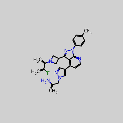 C=C(N)Cn1cc(-c2ccnc3c2c(C2CN(C(=C)C(=C)F)C2)nn3-c2ccc(C(F)(F)F)cc2)cn1